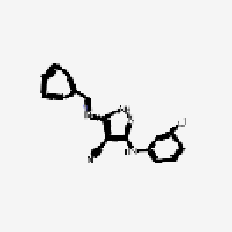 N#Cc1c(Nc2cccc(Cl)c2)n[nH]c1/N=C/c1ccccc1